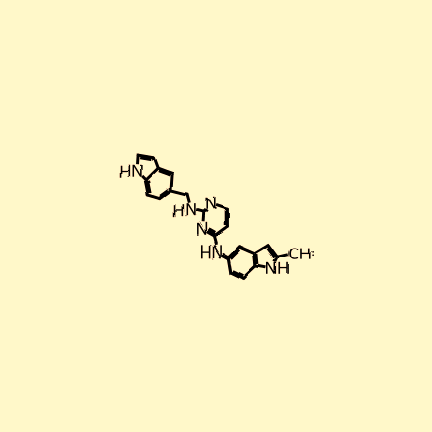 [CH]c1cc2cc(Nc3ccnc(NCc4ccc5[nH]ccc5c4)n3)ccc2[nH]1